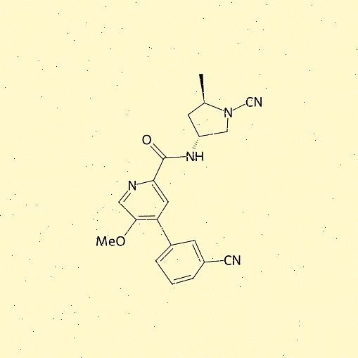 COc1cnc(C(=O)N[C@@H]2C[C@@H](C)N(C#N)C2)cc1-c1cccc(C#N)c1